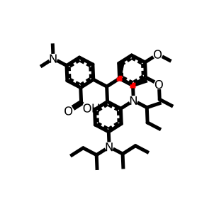 CCOc1cc(C(c2ccc(N(C)C)cc2C(=O)O)c2ccc(N(C(C)CC)C(C)CC)cc2N(C(C)CC)C(C)CC)ccc1OC